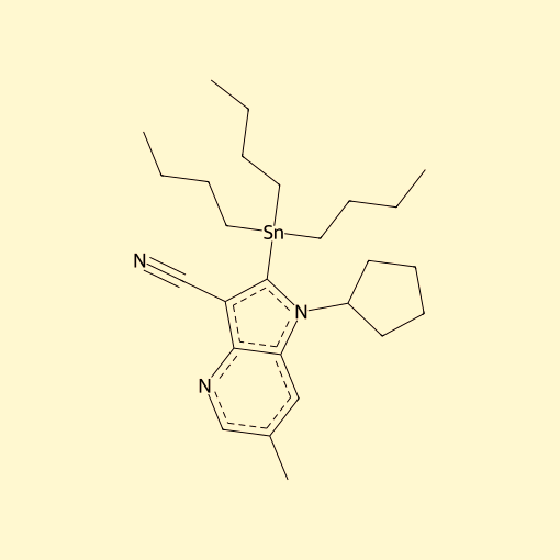 CCC[CH2][Sn]([CH2]CCC)([CH2]CCC)[c]1c(C#N)c2ncc(C)cc2n1C1CCCC1